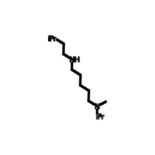 CC(C)CCNCCCCCN(C)C(C)C